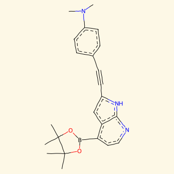 CN(C)c1ccc(C#Cc2cc3c(B4OC(C)(C)C(C)(C)O4)ccnc3[nH]2)cc1